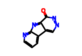 O=C1N=NC=C2C1=Nc1ncccc12